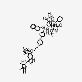 Cc1[nH]nc(Nc2ncnc3cc(OCCCN4CCN(c5ccc(C(N[C@H]6C[C@@H](C(N)=O)N(C(=O)[C@@H](NC(=O)[C@H](C)N(C)C(=O)OC(C)(C)C)C7CCCCC7)C6)OC6CCc7ccccc7C6)cn5)CC4)c(S(=O)(=O)C(C)(C)C)cc23)c1C